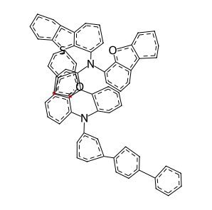 c1ccc(-c2ccc(-c3cccc(N(c4ccccc4-c4ccccc4N(c4cccc5c4oc4ccccc45)c4cccc5c4sc4ccccc45)c4cccc5c4oc4ccccc45)c3)cc2)cc1